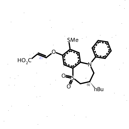 CCCC[C@H]1CN(c2ccccc2)c2cc(SC)c(O/C=C/C(=O)O)cc2S(=O)(=O)C1